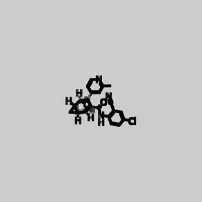 Cc1cc([C@H]2[C@H]3O[C@H]([C@@H]4C[C@@H]43)[C@@H]2C(=O)Nc2ccc(Cl)cc2C#N)ccn1